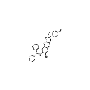 CCC1(c2ccc(F)cc2)Oc2cc3cc(Br)c(N=C(c4ccccc4)c4ccccc4)cc3cc2O1